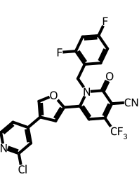 N#Cc1c(C(F)(F)F)cc(-c2cc(-c3ccnc(Cl)c3)co2)n(Cc2ccc(F)cc2F)c1=O